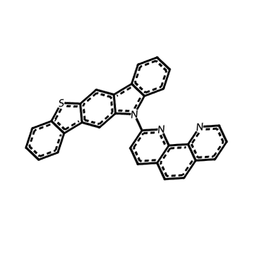 c1cnc2c(c1)ccc1ccc(-n3c4ccccc4c4cc5sc6ccccc6c5cc43)nc12